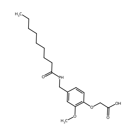 CCCCCCCCC(=O)PCc1ccc(OCC(=O)O)c(OC)c1